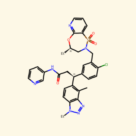 CC[C@@H]1CN(Cc2cc([C@H](CC(=O)Nc3cccnc3)c3ccc4c(nnn4CC)c3C)ccc2Cl)S(=O)(=O)c2cccnc2O1